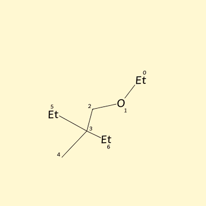 CCOCC(C)(CC)CC